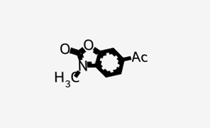 CC(=O)c1ccc2c(c1)oc(=O)n2C